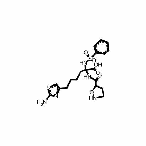 Nc1nc(CCCCC(NC(=O)C2CCNO2)(NS(=O)(=O)c2ccccc2)C(=O)O)cs1